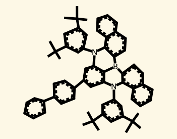 CC(C)(C)c1cc(N2c3cc(-c4ccc(-c5ccccc5)cc4)cc4c3B(c3ccc5ccccc5c32)c2ccc3ccccc3c2N4c2cc(C(C)(C)C)cc(C(C)(C)C)c2)cc(C(C)(C)C)c1